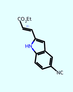 [C-]#[N+]c1ccc2[nH]c(/C=C/C(=O)OCC)cc2c1